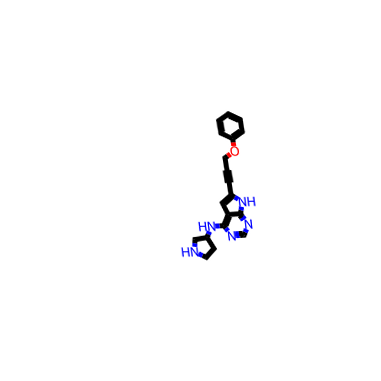 C(#Cc1cc2c(NC3CCNC3)ncnc2[nH]1)COc1ccccc1